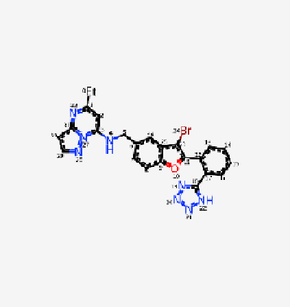 CCc1cc(NCc2ccc3oc(-c4ccccc4-c4nnn[nH]4)c(Br)c3c2)n2nccc2n1